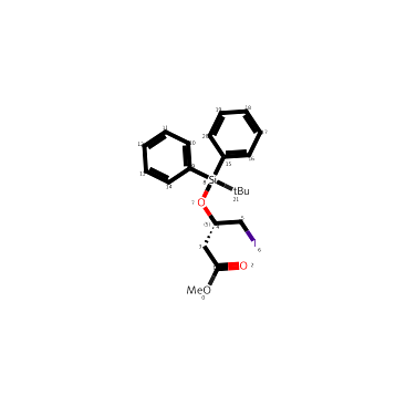 COC(=O)C[C@@H](CI)O[Si](c1ccccc1)(c1ccccc1)C(C)(C)C